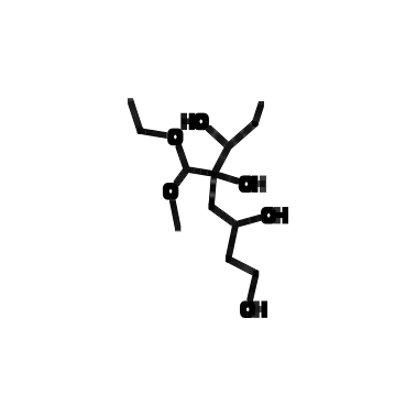 CCOC(OC)C(O)(CC(O)CCO)C(O)CC